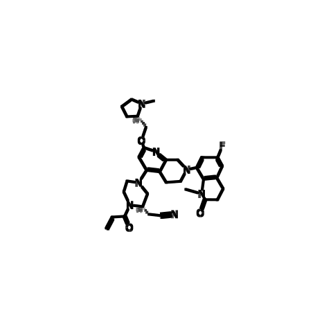 C=CC(=O)N1CCN(c2cc(OC[C@@H]3CCCN3C)nc3c2CCN(c2cc(F)cc4c2N(C)C(=O)CC4)C3)C[C@@H]1CC#N